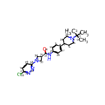 CC(C)(C)N1CCC(c2ccc(NC(=O)C3CN(c4ccc(Cl)nn4)C3)cc2)CC1